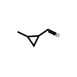 CC1[CH]C1C=O